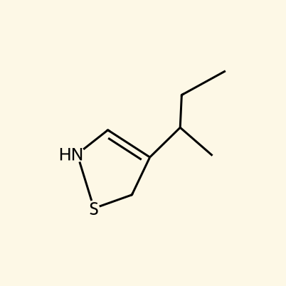 CCC(C)C1=CNSC1